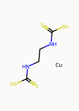 S=C(S)NCCNC(=S)S.[Cu]